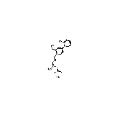 CC(C)Cc1cc(-c2ccccc2F)ccc1OCCN(C)CC(=O)OC(C)(C)C